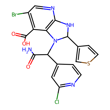 NC(=O)C(c1ccnc(Cl)c1)N1c2c(ncc(Br)c2C(=O)O)NC1c1ccsc1